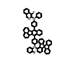 Fc1ccccc1N(c1ccc(-c2c3c(c(-c4ccc(N(c5ccccc5)c5ncc6ccccc6c5F)cc4)c4ccccc24)-c2cccc4cccc-3c24)cc1)c1cccc2c1-c1ccccc1C21c2ccccc2-c2ccccc21